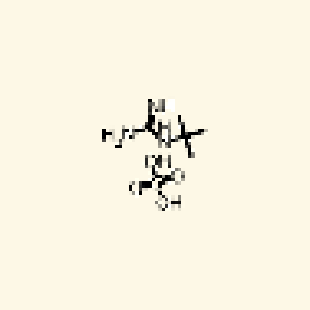 CC(C)(C)NC(=N)N.O=S(=O)(O)O